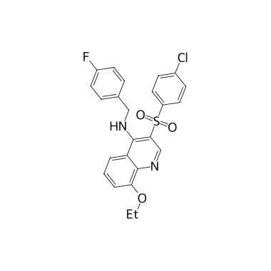 CCOc1cccc2c(NCc3ccc(F)cc3)c(S(=O)(=O)c3ccc(Cl)cc3)cnc12